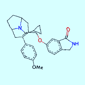 COc1ccc(C2=C(COc3ccc4c(c3)C(=O)NC4)CC3CCC(C2)N3CC2CC2)cc1